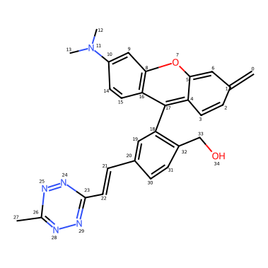 C=c1ccc2c(c1)Oc1cc(N(C)C)ccc1C=2c1cc(/C=C/c2nnc(C)nn2)ccc1CO